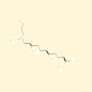 CC(C)=CCC/C(C)=C/CC/C(C)=C/CN(C)CCCCl